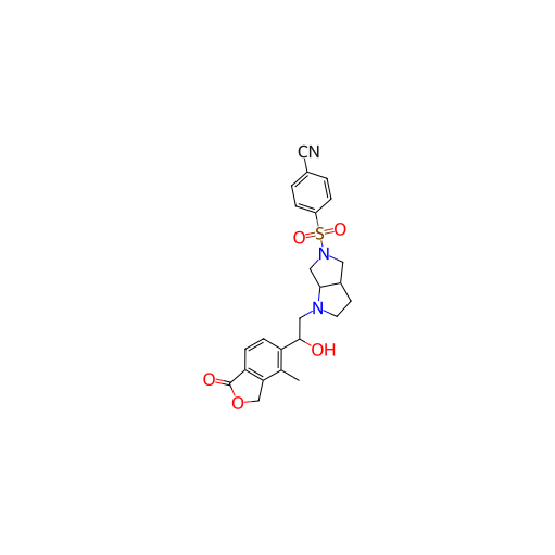 Cc1c(C(O)CN2CCC3CN(S(=O)(=O)c4ccc(C#N)cc4)CC32)ccc2c1COC2=O